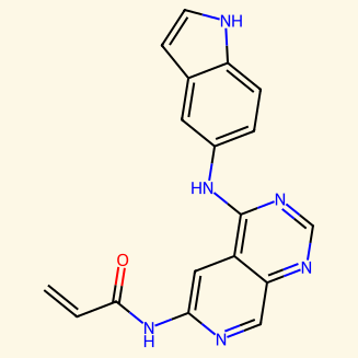 C=CC(=O)Nc1cc2c(Nc3ccc4[nH]ccc4c3)ncnc2cn1